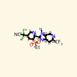 CCS(=O)(=O)c1cc(C(F)(F)C#N)cnc1-c1nc2cc(C(F)(F)F)ncc2n1C